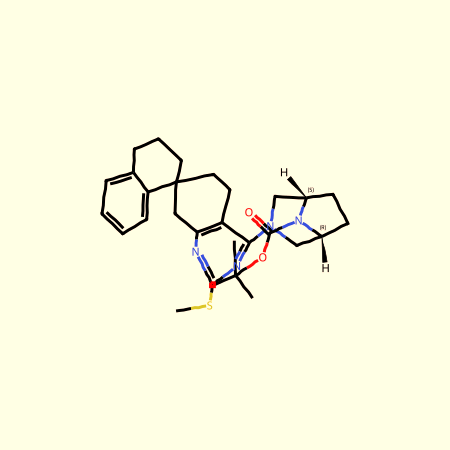 CSc1nc2c(c(N3C[C@H]4CC[C@@H](C3)N4C(=O)OC(C)(C)C)n1)CCC1(CCCc3ccccc31)C2